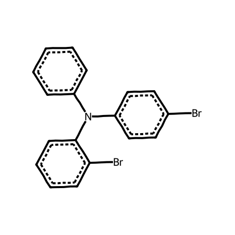 Brc1ccc(N(c2ccccc2)c2ccccc2Br)cc1